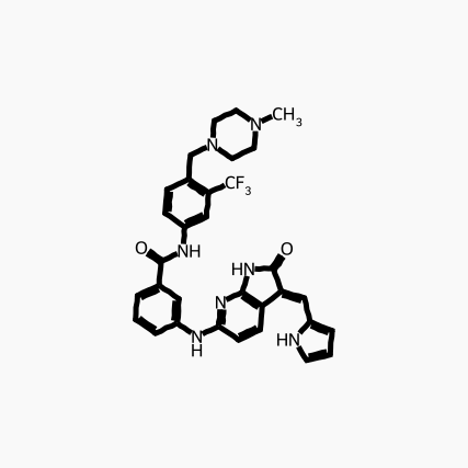 CN1CCN(Cc2ccc(NC(=O)c3cccc(Nc4ccc5c(n4)NC(=O)/C5=C/c4ccc[nH]4)c3)cc2C(F)(F)F)CC1